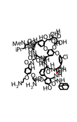 CN[C@H](CC(C)C)C(=O)N[C@H]1C(=O)N[C@@H](CC(=O)NC(=O)c2ccc(OCCN)c(OCCN)c2)C(=O)N[C@H]2C(=O)N[C@H]3C(=O)N[C@H](C(=O)N[C@H](C(=O)NC4C5CC6CC(C5)CC4C6)c4cc(O)cc(O)c4-c4cc3ccc4O)[C@H](O)c3ccc(c(Cl)c3)Oc3cc2cc2c3O[C@@H]3O[C@H](C(O)c4cc(ccc4O2)[C@H]1O)[C@@H](O)[C@H](O)[C@H]3O